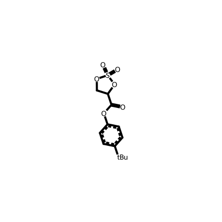 CC(C)(C)c1ccc(OC(=O)C2COS(=O)(=O)O2)cc1